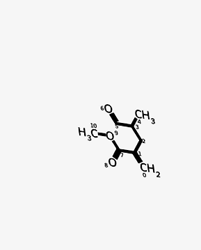 C=C(CC(C)C=O)C(=O)OC